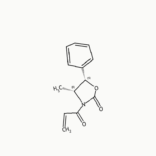 C=CC(=O)N1C(=O)O[C@@H](c2ccccc2)[C@H]1C